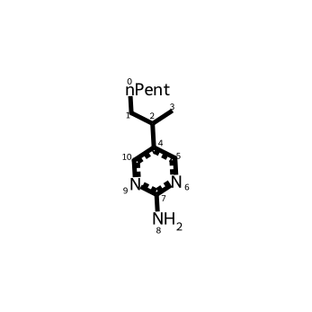 CCCCCCC(C)c1cnc(N)nc1